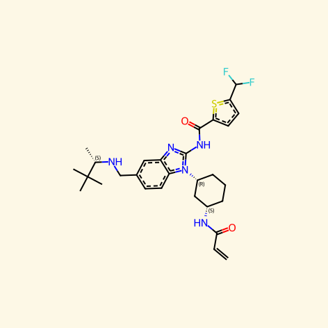 C=CC(=O)N[C@H]1CCC[C@@H](n2c(NC(=O)c3ccc(C(F)F)s3)nc3cc(CN[C@@H](C)C(C)(C)C)ccc32)C1